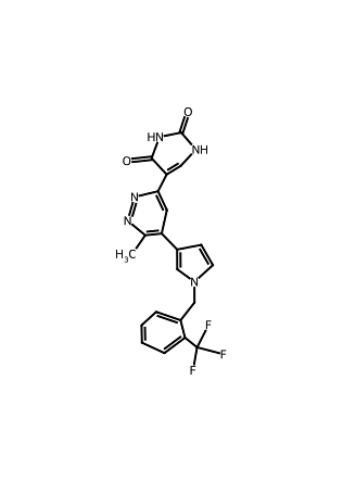 Cc1nnc(-c2c[nH]c(=O)[nH]c2=O)cc1-c1ccn(Cc2ccccc2C(F)(F)F)c1